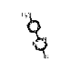 CCc1cnc(-c2ccc(N)cc2)nc1